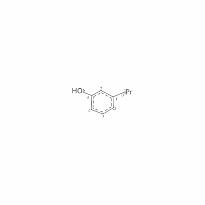 CC(C)c1[c]ccc(O)c1